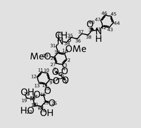 COc1cc(OS(=O)(=O)Oc2ccccc2OC2O[C@H](CO)[C@H](O)[C@H](O)C2=O)cc(OC)c1CN(C)CCCCCC(=O)Nc1ccccc1